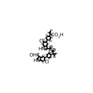 O=Cc1c[nH]c2cc(Cl)c(-c3ccc(C4(C(=O)OC(=O)c5c[nH]c6cc(Cl)c(-c7ccc(C8(C(=O)O)CC8)cc7)cc56)CC4)cc3)cc12